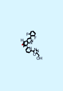 CC1(C)[C@H]2CC[C@]1(c1cccc(-c3nnc(CO)o3)n1)c1nnc(-c3c(F)cccc3F)cc12